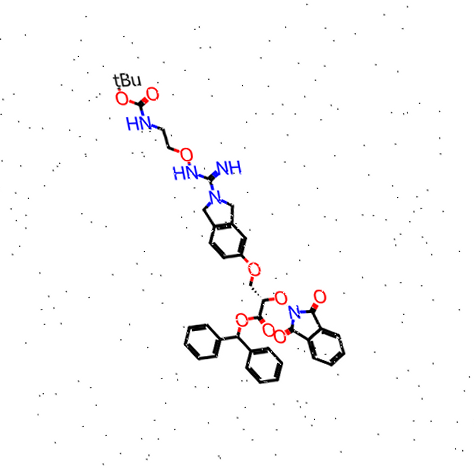 CC(C)(C)OC(=O)NCCONC(=N)N1Cc2ccc(OC[C@H](ON3C(=O)c4ccccc4C3=O)C(=O)OC(c3ccccc3)c3ccccc3)cc2C1